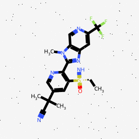 CC[S@](=N)(=O)c1cc(C(C)(C)C#N)cnc1-c1nc2cc(C(F)(F)F)ncc2n1C